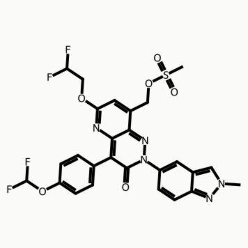 Cn1cc2cc(-n3nc4c(COS(C)(=O)=O)cc(OCC(F)F)nc4c(-c4ccc(OC(F)F)cc4)c3=O)ccc2n1